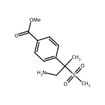 COC(=O)c1ccc(C(C)(CN)S(C)(=O)=O)cc1